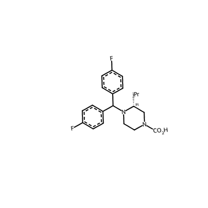 CC(C)[C@@H]1CN(C(=O)O)CCN1C(c1ccc(F)cc1)c1ccc(F)cc1